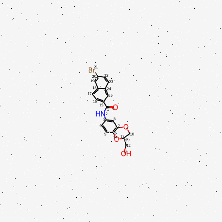 O=C(Nc1ccc2c(c1)OC[C@@H](CO)O2)c1ccc2cc(Br)ccc2c1